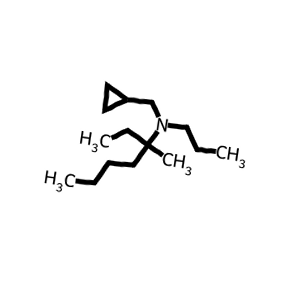 CCCCC(C)(CC)N(CCC)CC1CC1